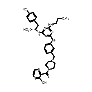 COCCNc1nc(Nc2cccc(CN3CCN(C(=O)c4nccnc4O)CC3)c2)nc(N[C@@H](Cc2ccc(C#N)cc2)C(=O)O)n1